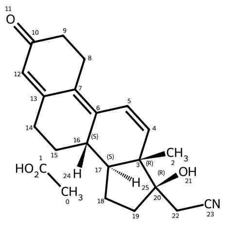 CC(=O)O.C[C@]12C=CC3=C4CCC(=O)C=C4CC[C@H]3[C@@H]1CC[C@@]2(O)CC#N